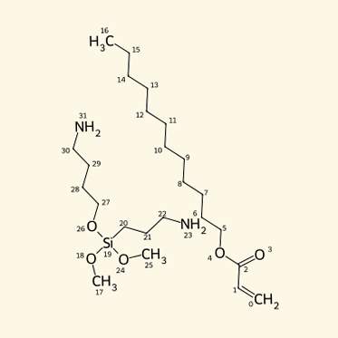 C=CC(=O)OCCCCCCCCCCCC.CO[Si](CCCN)(OC)OCCCCN